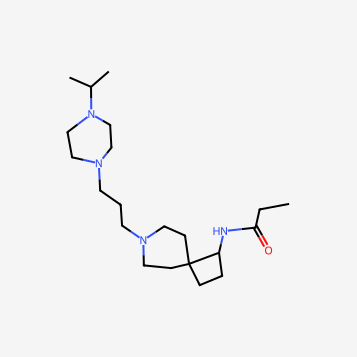 CCC(=O)NC1CCC12CCN(CCCN1CCN(C(C)C)CC1)CC2